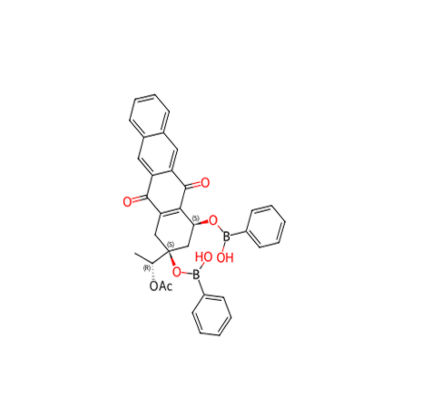 CC(=O)O[C@H](C)[C@]1(OB(O)c2ccccc2)CC2=C(C(=O)c3cc4ccccc4cc3C2=O)[C@@H](OB(O)c2ccccc2)C1